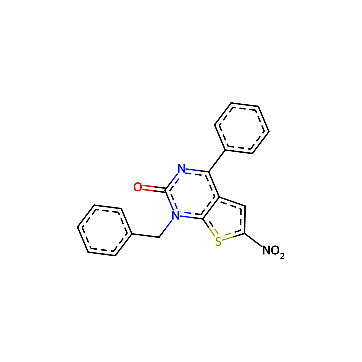 O=c1nc(-c2ccccc2)c2cc([N+](=O)[O-])sc2n1Cc1ccccc1